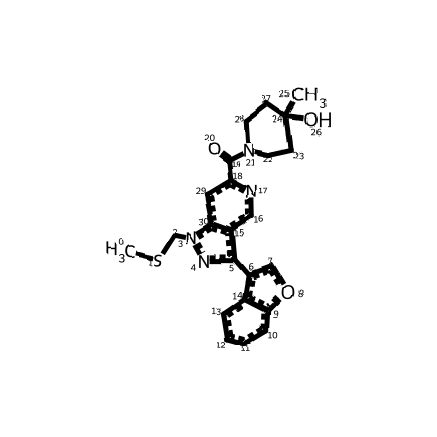 CSCn1nc(-c2coc3ccccc23)c2cnc(C(=O)N3CCC(C)(O)CC3)cc21